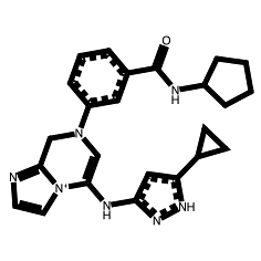 O=C(NC1CCCC1)c1cccc(N2C=C(Nc3cc(C4CC4)[nH]n3)[N+]3C=CN=C3C2)c1